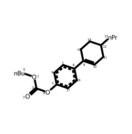 CCCCOC(=O)Oc1ccc(C2=CCC(CCC)CC2)cc1